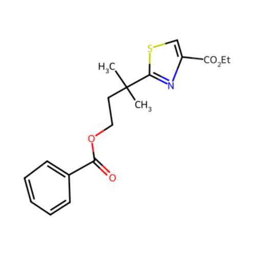 CCOC(=O)c1csc(C(C)(C)CCOC(=O)c2ccccc2)n1